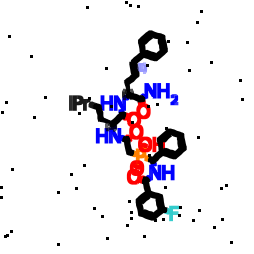 CC(C)CC[C@H](NC(=O)CP(=O)(O)C(NC(=O)c1cccc(F)c1)c1ccccc1)C(=O)N[C@@H](C/C=C/c1ccccc1)C(N)=O